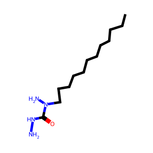 CCCCCCCCCCCCN(N)C(=O)NN